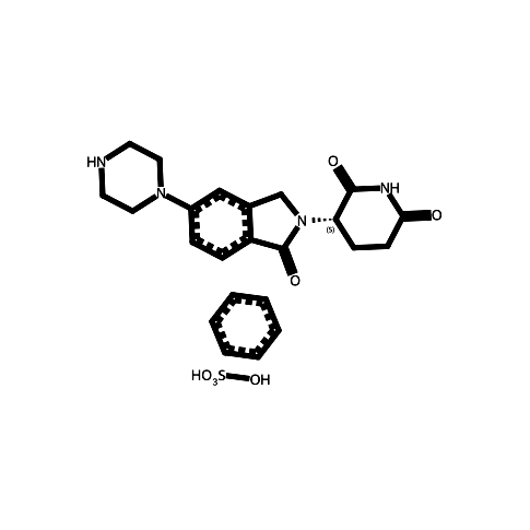 O=C1CC[C@H](N2Cc3cc(N4CCNCC4)ccc3C2=O)C(=O)N1.O=S(=O)(O)O.c1ccccc1